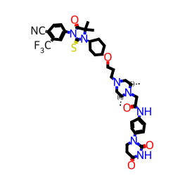 C[C@@H]1CN(CCCO[C@H]2CC[C@H](N3C(=S)N(c4ccc(C#N)c(C(F)(F)F)c4)C(=O)C3(C)C)CC2)C[C@H](C)N1CC(=O)Nc1ccc(N2CCC(=O)NC2=O)cc1